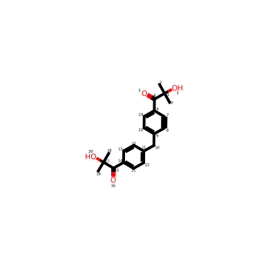 CC(C)(O)C(=O)c1c#cc(Cc2ccc(C(=O)C(C)(C)O)cc2)cc1